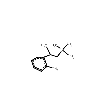 Cc1ccccc1C(C)C[Si](C)(C)C